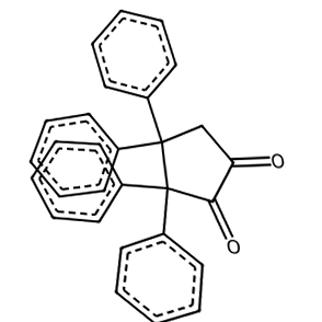 O=C1CC(c2ccccc2)(c2ccccc2)C(c2ccccc2)(c2ccccc2)C1=O